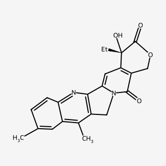 CC[C@@]1(O)C(=O)OCc2c1cc1n(c2=O)Cc2c-1nc1ccc(C)cc1c2C